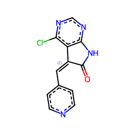 O=C1Nc2ncnc(Cl)c2/C1=C/c1ccncc1